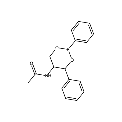 CC(=O)NC1COP(c2ccccc2)OC1c1ccccc1